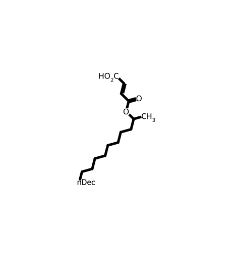 CCCCCCCCCCCCCCCCCCC(C)OC(=O)C=CC(=O)O